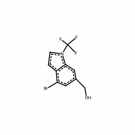 OCc1cc(Br)c2ccn(C(F)(F)F)c2c1